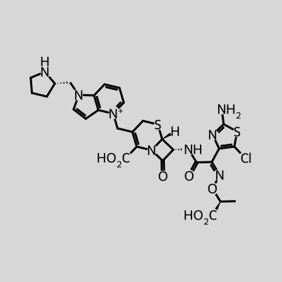 C[C@H](O/N=C(\C(=O)N[C@@H]1C(=O)N2C(C(=O)O)=C(C[n+]3cccc4c3ccn4C[C@@H]3CCCN3)CS[C@H]12)c1nc(N)sc1Cl)C(=O)O